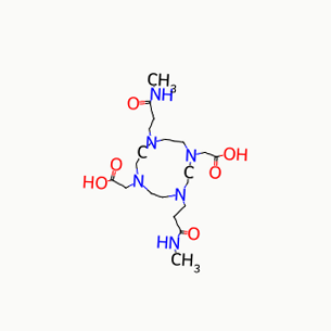 CNC(=O)CCN1CCN(CC(=O)O)CCN(CCC(=O)NC)CCN(CC(=O)O)CC1